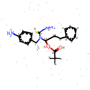 C[C@H](c1ccc(N)cc1)N(C(N)=S)C(CCc1ccccc1)OC(=O)C(C)(C)C